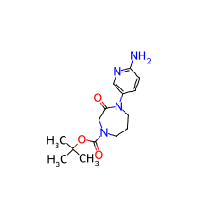 CC(C)(C)OC(=O)N1CCCN(c2ccc(N)nc2)C(=O)C1